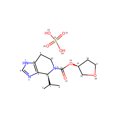 CC(C)[C@H]1c2nc[nH]c2CCN1C(=O)O[C@H]1CCOC1.O=S(=O)(O)O